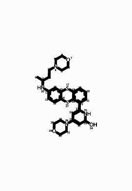 CC(CCN1CCOCC1)Nc1ccc2c(c1)Sc1cccc(C3=CC(N4CCOCC4)=CC(O)N3)c1S2